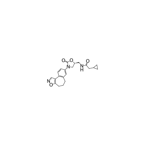 O=C(CC1CC1)NC[C@H]1CN(c2ccc3c(c2)CCCc2oncc2-3)C(=O)O1